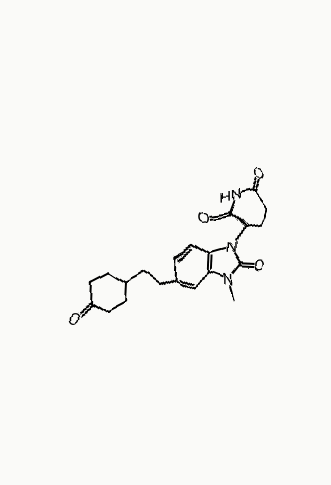 Cn1c(=O)n(C2CCC(=O)NC2=O)c2ccc(CCC3CCC(=O)CC3)cc21